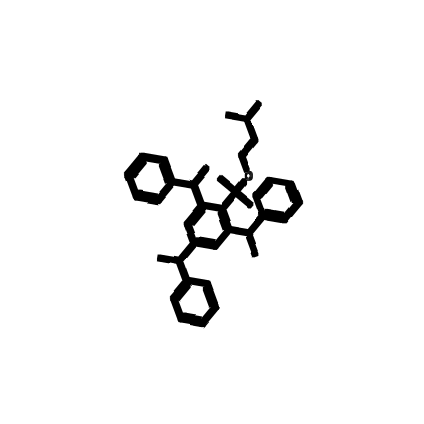 CC(C)CCOC(C)(C)c1c(C(C)c2ccccc2)cc(C(C)c2ccccc2)cc1C(C)c1ccccc1